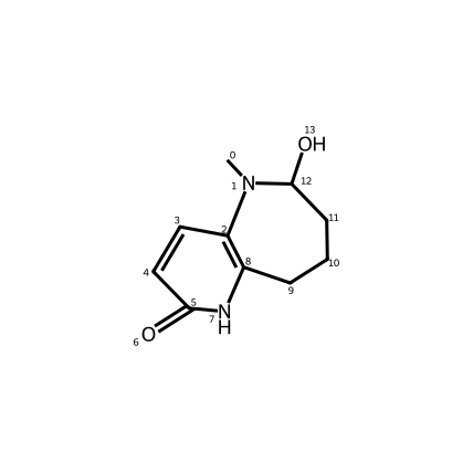 CN1c2ccc(=O)[nH]c2CCCC1O